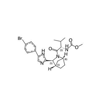 COC(=O)N[C@H](C(=O)N1[C@@H]2CC[C@@H](C2)[C@H]1c1ncc(-c2ccc(Br)cc2)[nH]1)C(C)C